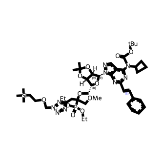 CCOP(=O)(OCC)C(COC)(Cc1nnn(COCC[Si](C)(C)C)n1)OC[C@H]1O[C@@H](n2ncc3c(N(C(=O)OC(C)(C)C)C4CCC4)nc(/C=C/c4ccccc4)nc32)[C@@H]2OC(C)(C)O[C@@H]21